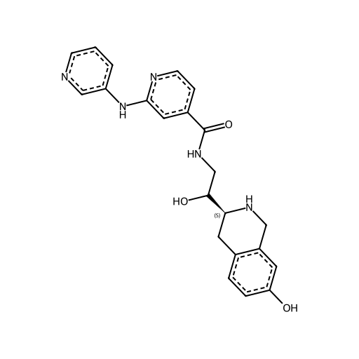 O=C(NCC(O)[C@@H]1Cc2ccc(O)cc2CN1)c1ccnc(Nc2cccnc2)c1